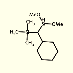 CO[SiH](OC)C(C1CCCCC1)[Si](C)(C)C